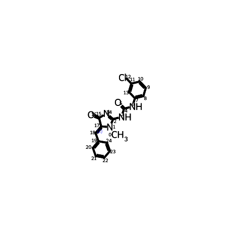 CN1C(NC(=O)Nc2cccc(Cl)c2)=NC(=O)/C1=C/c1ccccc1